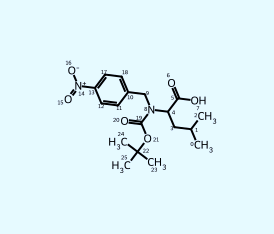 CC(C)CC(C(=O)O)N(Cc1ccc([N+](=O)[O-])cc1)C(=O)OC(C)(C)C